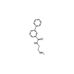 NCCNC(=O)c1cccc(-c2ccccc2)c1